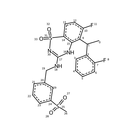 CC(c1ccccc1F)c1c(F)ccc2c1NC(NCc1cccc(S(C)(=O)=O)c1)=NS2(=O)=O